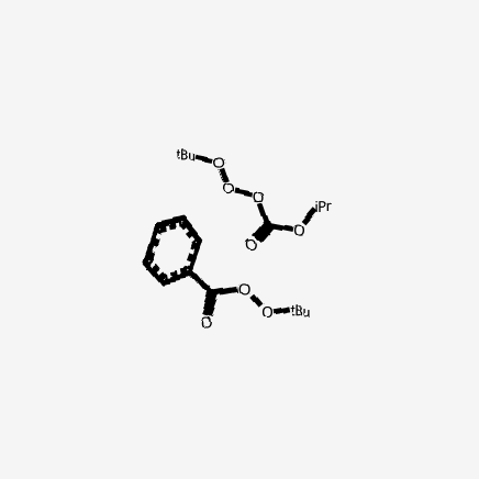 CC(C)(C)OOC(=O)c1ccccc1.CC(C)OC(=O)OOOC(C)(C)C